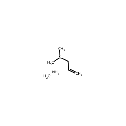 C=CCN(C)C.N.O